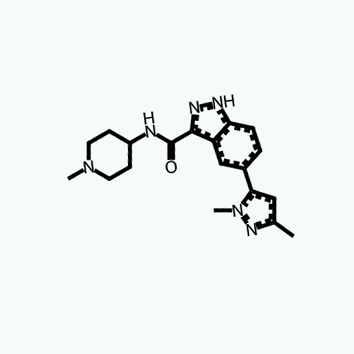 Cc1cc(-c2ccc3[nH]nc(C(=O)NC4CCN(C)CC4)c3c2)n(C)n1